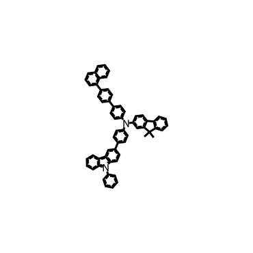 CC1(C)c2ccccc2-c2ccc(N(c3ccc(-c4ccc(-c5cccc6ccccc56)cc4)cc3)c3ccc(-c4ccc5c(c4)c4ccccc4n5-c4ccccc4)cc3)cc21